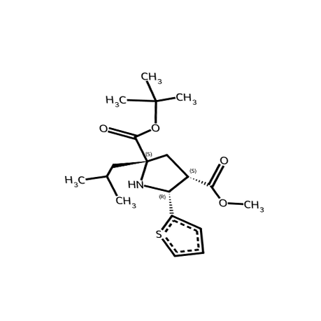 COC(=O)[C@H]1C[C@@](CC(C)C)(C(=O)OC(C)(C)C)N[C@H]1c1cccs1